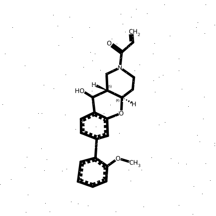 C=CC(=O)N1CC[C@H]2Oc3cc(-c4ccccc4OC)ccc3C(O)[C@@H]2C1